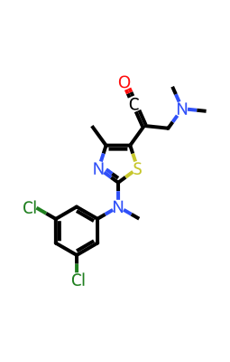 Cc1nc(N(C)c2cc(Cl)cc(Cl)c2)sc1C(=C=O)CN(C)C